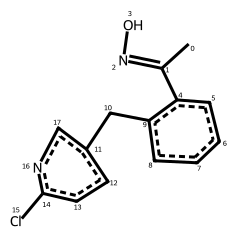 CC(=NO)c1ccccc1Cc1ccc(Cl)nc1